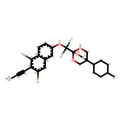 CC1CCC(C23COC(C(F)(F)Oc4ccc5c(F)c(C#CC(F)(F)F)c(F)cc5c4)(OC2)OC3)CC1